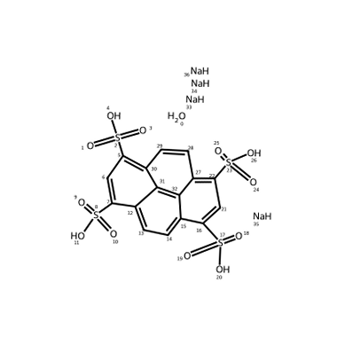 O.O=S(=O)(O)c1cc(S(=O)(=O)O)c2ccc3c(S(=O)(=O)O)cc(S(=O)(=O)O)c4ccc1c2c43.[NaH].[NaH].[NaH].[NaH]